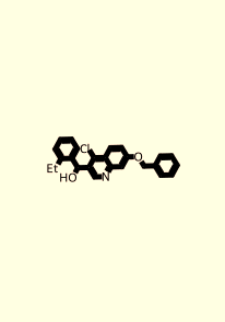 CCc1ccccc1C(O)c1cnc2cc(OCc3ccccc3)ccc2c1Cl